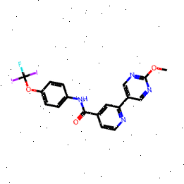 COc1ncc(-c2cc(C(=O)Nc3ccc(OC(F)(I)I)cc3)ccn2)cn1